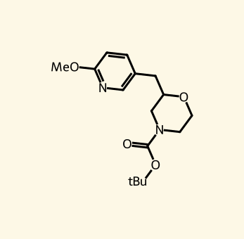 COc1ccc(CC2CN(C(=O)OC(C)(C)C)CCO2)cn1